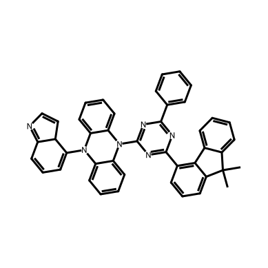 CC1(C)c2ccccc2-c2c(-c3nc(-c4ccccc4)nc(N4c5ccccc5N(C5=CC=CC6=NC=CC56)c5ccccc54)n3)cccc21